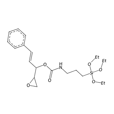 CCO[Si](CCCNC(=O)OC(C=Cc1ccccc1)C1CO1)(OCC)OCC